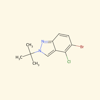 CC(C)(C)n1cc2c(Cl)c(Br)ccc2n1